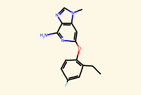 CCc1cc(F)ccc1Oc1cc2c(ncn2C)c(N)n1